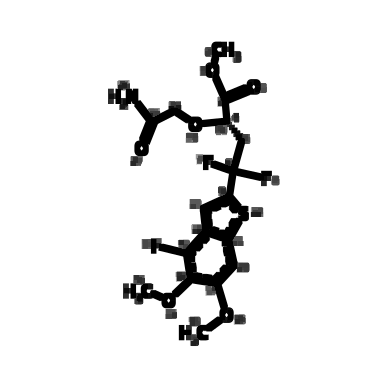 COC(=O)[C@H](CC(F)(F)c1cc2c(F)c(OC)c(OC)cc2s1)OCC(N)=O